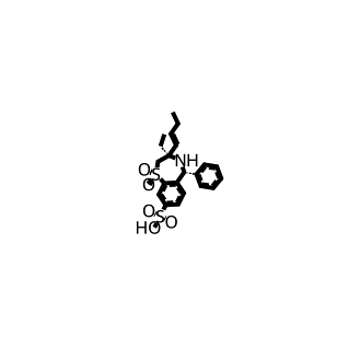 CC/C=C/[C@]1(CC)CS(=O)(=O)c2cc(S(=O)(=O)O)ccc2[C@@H](c2ccccc2)N1